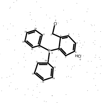 Cl.ClCc1ccccc1P(c1ccccc1)c1ccccc1